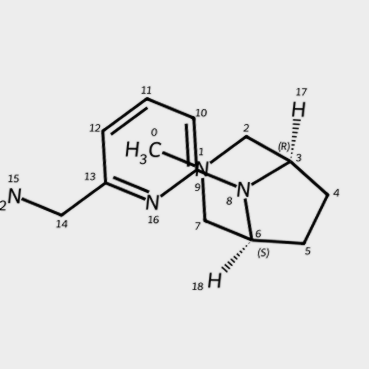 CN1C[C@H]2CC[C@@H](C1)N2c1cccc(CN)n1